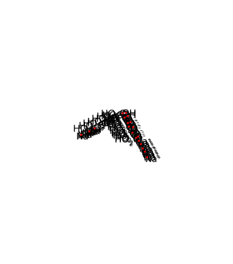 O=C(O)O.O=C(O)O.O=C([O-])O.O=C([O-])O.O=C([O-])O.O=C([O-])O.O=C([O-])O.O=C([O-])O.O=C([O-])O.O=C([O-])O.O=C([O-])O.O=C([O-])O.O=C([O-])O.O=C([O-])O.O=C([O-])O.O=C([O-])O.O=C([O-])O.O=C([O-])O.O=C([O-])O.O=C([O-])O.O=C([O-])O.[Na+].[Na+].[Na+].[Na+].[Na+].[Na+].[Na+].[Na+].[Na+].[Na+].[Na+].[Na+].[Na+].[Na+].[Na+].[Na+].[Na+].[Na+].[Na+]